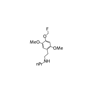 CCCNCCc1cc(OC)c(OCF)cc1OC